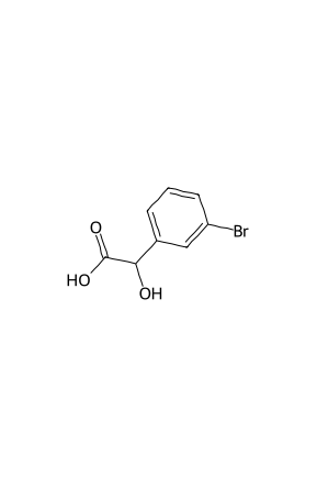 O=C(O)C(O)c1cccc(Br)c1